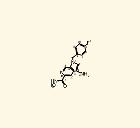 Nc1cn(Cc2ccc(F)cc2)c2cnc(C(=O)NO)cc12